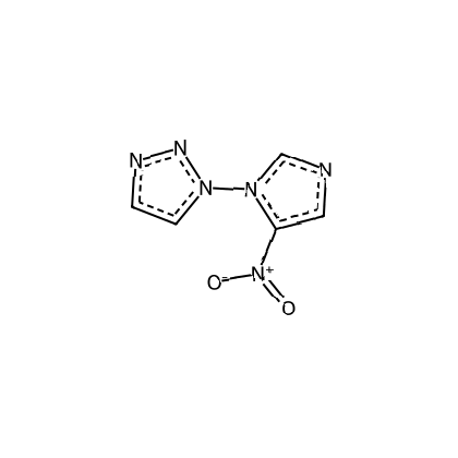 O=[N+]([O-])c1cncn1-n1ccnn1